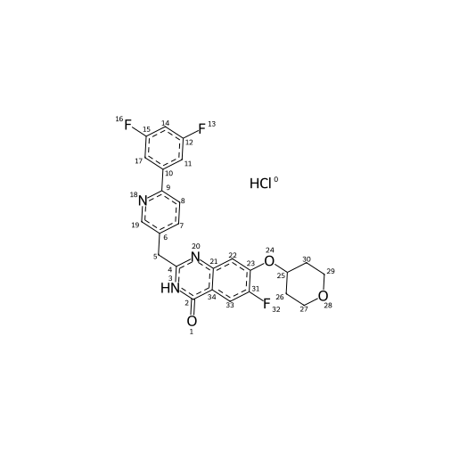 Cl.O=c1[nH]c(Cc2ccc(-c3cc(F)cc(F)c3)nc2)nc2cc(OC3CCOCC3)c(F)cc12